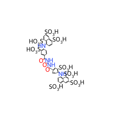 O=C(NC(=O)c1ccc(Nc2ccc(S(=O)(=O)O)c3cc(S(=O)(=O)O)cc(S(=O)(=O)O)c23)c(S(=O)(=O)O)c1)NC(=O)c1ccc(Nc2ccc(S(=O)(=O)O)c3cc(S(=O)(=O)O)cc(S(=O)(=O)O)c23)c(S(=O)(=O)O)c1